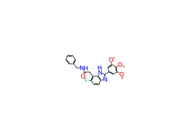 COc1cc(-c2nc3ccc(F)c(CC(=O)NCc4ccccc4)c3[nH]2)cc(OC)c1OC